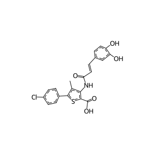 Cc1c(-c2ccc(Cl)cc2)sc(C(=O)O)c1NC(=O)C=Cc1ccc(O)c(O)c1